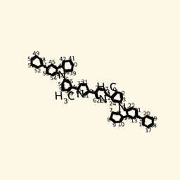 Cc1ccc(-n2c3ccccc3c3cc(-c4ccccc4)ccc32)cc1-c1ccc(-c2ccc(-c3cc(-n4c5ccccc5c5cc(-c6ccccc6)ccc54)ccc3C)nc2)cn1